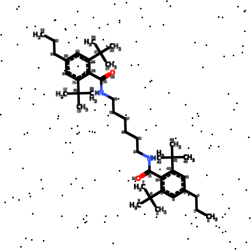 CCCc1cc(C(C)(C)C)c(C(=O)NCCCCCCNC(=O)c2c(C(C)(C)C)cc(CCC)cc2C(C)(C)C)c(C(C)(C)C)c1